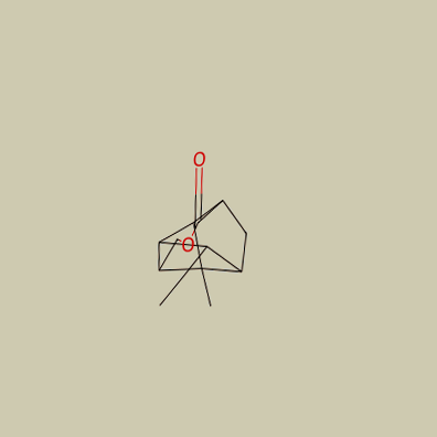 CC1C2C3COC(=O)C4CC1C3(C)C42